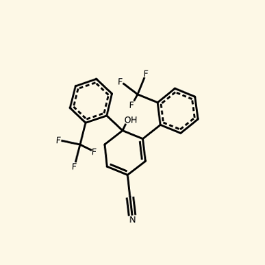 N#CC1=CCC(O)(c2ccccc2C(F)(F)F)C(c2ccccc2C(F)(F)F)=C1